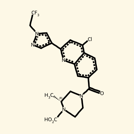 C[C@@H]1CN(C(=O)c2ccc3c(Cl)cc(-c4cnn(CC(F)(F)F)c4)nc3c2)CCN1C(=O)O